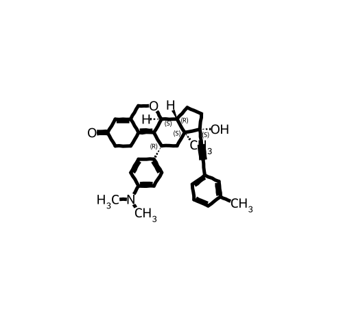 Cc1cccc(C#C[C@]2(O)CC[C@H]3[C@@H]4OCC5=CC(=O)CCC5=C4[C@@H](c4ccc(N(C)C)cc4)C[C@@]32C)c1